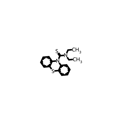 CCN(CC)C(=S)N1c2ccccc2Sc2ccccc21